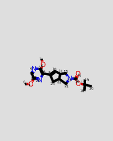 COc1cnc(OC)c(C2=CC3CN(C(=O)OC(C)(C)C)CC3C2)n1